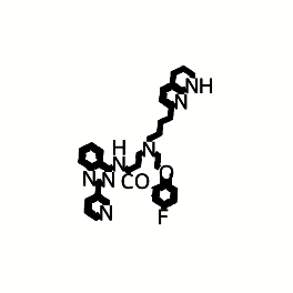 O=C(O)C(CCN(CCCCc1ccc2c(n1)NCCC2)CCOc1ccc(F)cc1)Nc1nc(-c2cccnc2)nc2ccccc12